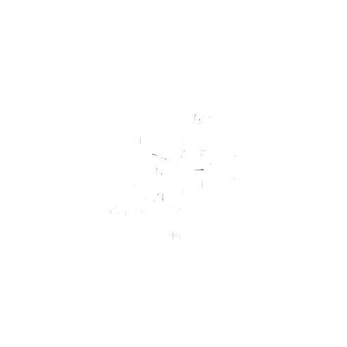 CC(C)(C)OC(=O)N(C(=O)OC(C)(C)C)C1=N[C@](C)(c2cc([N+](=O)[O-])ccc2F)[C@@H](F)[C@@H](C(F)(F)C2CC2)O1